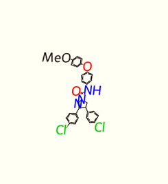 COc1ccc(Oc2ccc(NC(=O)N3CC(c4ccc(Cl)cc4)C(c4ccc(Cl)cc4)=N3)cc2)cc1